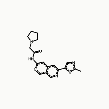 Cc1ncc(-c2cc3cc(NC(=O)CN4CCCC4)ncc3cn2)s1